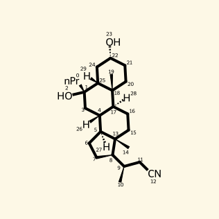 CCC[C@]1(O)C[C@H]2[C@@H]3CC[C@H]([C@H](C)CC#N)[C@@]3(C)CC[C@@H]2[C@@]2(C)CC[C@@H](O)C[C@@H]12